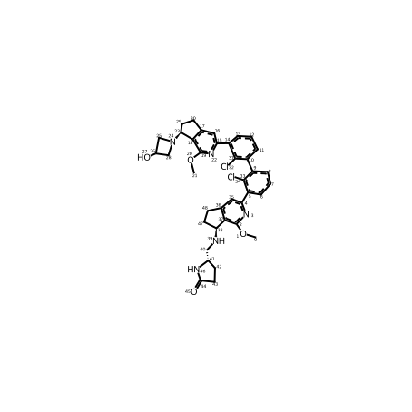 COc1nc(-c2cccc(-c3cccc(-c4cc5c(c(OC)n4)[C@@H](N4CC(O)C4)CC5)c3Cl)c2Cl)cc2c1[C@@H](NC[C@@H]1CCC(=O)N1)CC2